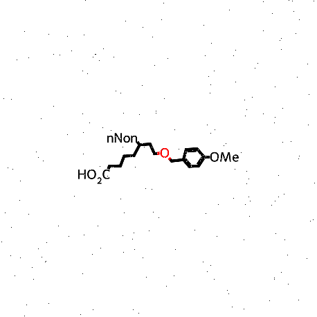 CCCCCCCCCC(CCCCC(=O)O)CCOCc1ccc(OC)cc1